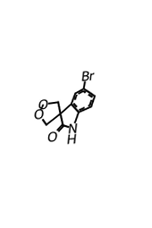 O=C1Nc2ccc(Br)cc2C12COOC2